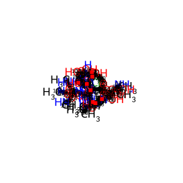 CNCCOc1cc(NC(=O)NC(=O)C[C@@H]2NC(=O)[C@H](NC(=O)[C@@H](CC(C)C)NC)[C@H](O)c3ccc(c(C)c3)Oc3cc4cc(c3O[C@@H]3O[C@H](CN)[C@@H](O)[C@H](O)[C@H]3O[C@H]3C[C@](C)(N)[C@H](O)[C@H](C)O3)Oc3ccc(cc3Cl)[C@@H](O)[C@@H]3NC(=O)[C@H](NC(=O)[C@@H]4NC2=O)c2ccc(O)c(c2)-c2c(C)cc(O)cc2[C@@H](C(=O)O)NC3=O)cc(OCCNC)c1OCCNC